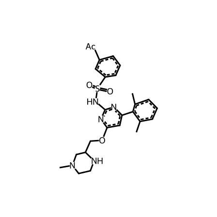 CC(=O)c1cccc(S(=O)(=O)Nc2nc(OCC3CN(C)CCN3)cc(-c3c(C)cccc3C)n2)c1